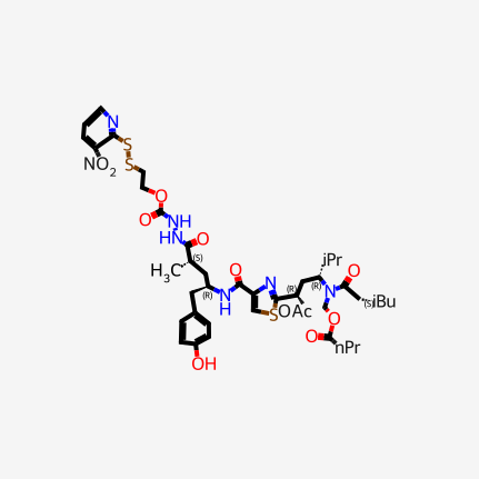 CCCC(=O)OCN(C(=O)C[C@@H](C)CC)[C@H](C[C@@H](OC(C)=O)c1nc(C(=O)N[C@@H](Cc2ccc(O)cc2)C[C@H](C)C(=O)NNC(=O)OCCSSc2ncccc2[N+](=O)[O-])cs1)C(C)C